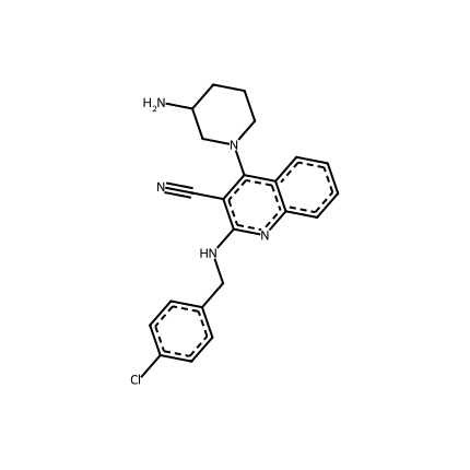 N#Cc1c(NCc2ccc(Cl)cc2)nc2ccccc2c1N1CCCC(N)C1